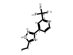 CCc1nc(-c2ccnc(C(F)(F)F)c2)no1